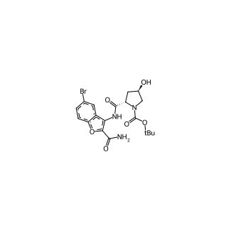 CC(C)(C)OC(=O)N1C[C@H](O)C[C@H]1C(=O)Nc1c(C(N)=O)oc2ccc(Br)cc12